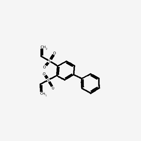 C=CS(=O)(=O)c1ccc(-c2cc[c]cc2)cc1S(=O)(=O)C=C